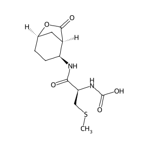 CSC[C@H](NC(=O)O)C(=O)N[C@H]1CC[C@@H]2C[C@H]1C(=O)O2